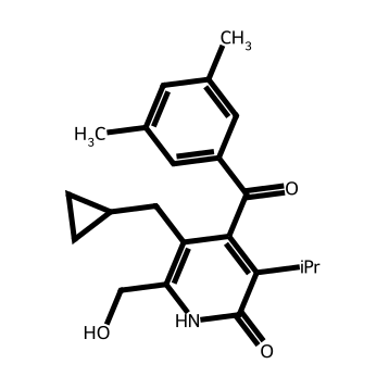 Cc1cc(C)cc(C(=O)c2c(CC3CC3)c(CO)[nH]c(=O)c2C(C)C)c1